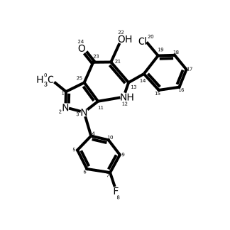 Cc1nn(-c2ccc(F)cc2)c2[nH]c(-c3ccccc3Cl)c(O)c(=O)c12